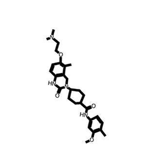 COc1cc(NC(=O)C2CCC(N3Cc4c(ccc(OCCN(C)C)c4C)NC3=O)CC2)ccc1C